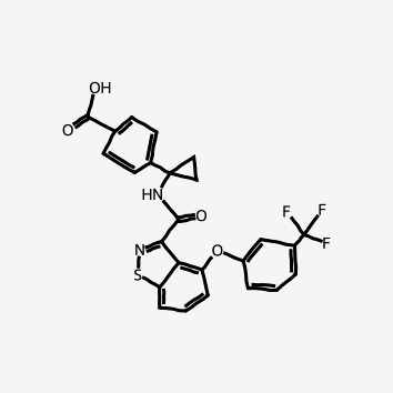 O=C(O)c1ccc(C2(NC(=O)c3nsc4cccc(Oc5cccc(C(F)(F)F)c5)c34)CC2)cc1